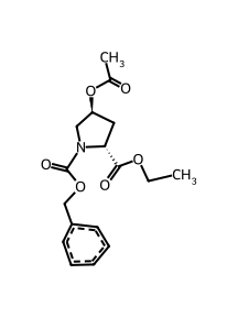 CCOC(=O)[C@H]1C[C@H](OC(C)=O)CN1C(=O)OCc1ccccc1